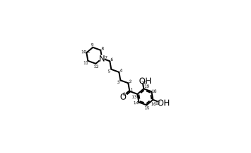 O=C(CCCCCN1CC[CH]CC1)c1ccc(O)cc1O